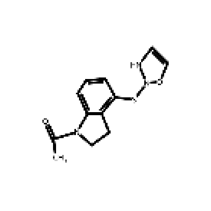 CC(=O)N1CCc2c(SN3NC=CO3)cccc21